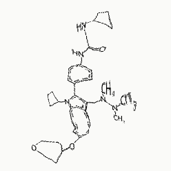 CN(C)N(C)c1c(-c2ccc(NC(=O)NC3CCC3)cc2)n(C2CCC2)c2cc(OC3CCOCC3)ccc12